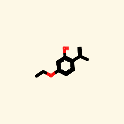 C=C(C)c1ccc(OCC)cc1O